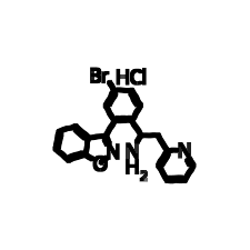 Cl.NC(Cc1ccccn1)c1ccc(Br)cc1-c1noc2ccccc12